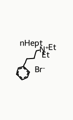 CCCCCCC[N+](CC)(CC)CCCc1ccccc1.[Br-]